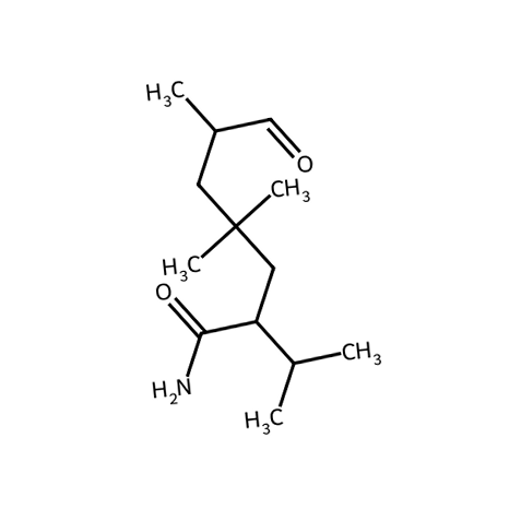 CC(C=O)CC(C)(C)CC(C(N)=O)C(C)C